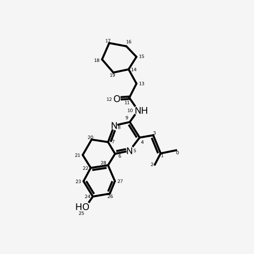 CC(C)=Cc1nc2c(nc1NC(=O)CC1CCCCC1)CCc1cc(O)ccc1-2